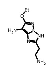 CCOc1nn2[nH]c(CCN)nc2c1N